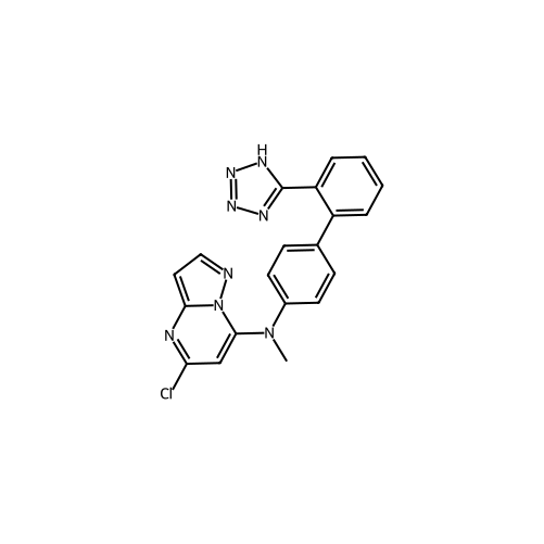 CN(c1ccc(-c2ccccc2-c2nnn[nH]2)cc1)c1cc(Cl)nc2ccnn12